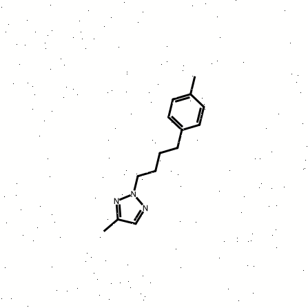 Cc1ccc(CCCCn2ncc(C)n2)cc1